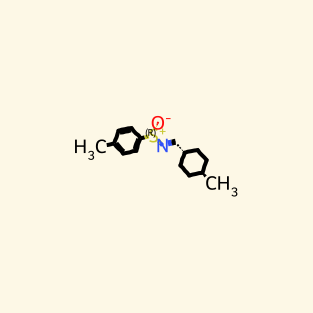 Cc1ccc([S@+]([O-])N=C[C@H]2CC[C@H](C)CC2)cc1